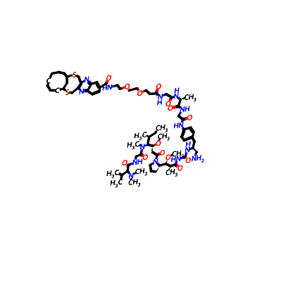 CC[C@H](C)[C@@H]([C@@H](CC(=O)N1CCC[C@H]1[C@H](OC)[C@@H](C)C(=O)NC(=O)N[C@H](CN)Cc1ccc(NC(=O)CNC(=O)[C@H](C)NC(=O)CNC(=O)CCOCCOCCNC(=O)c2ccc3nc4c(nc3c2)CSC2CCCCCCCC(C2)SC4)cc1)OC)N(C)C(=O)CNC(=O)C(C(C)C)N(C)C